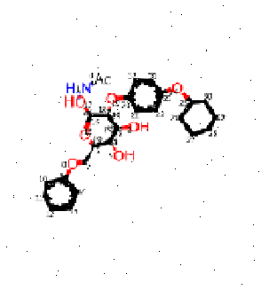 CC(N)=O.O[C@H]1[C@H](O)[C@@H](COc2ccccc2)O[C@@H](O)[C@@H]1Oc1ccc(OC2CCCCC2)cc1